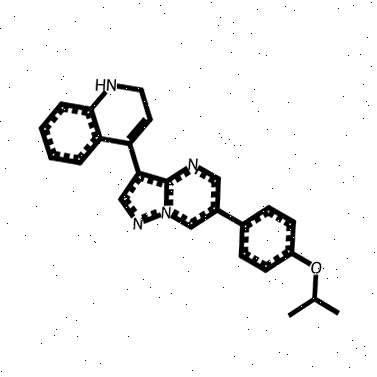 CC(C)Oc1ccc(-c2cnc3c(C4=CCNc5ccccc54)cnn3c2)cc1